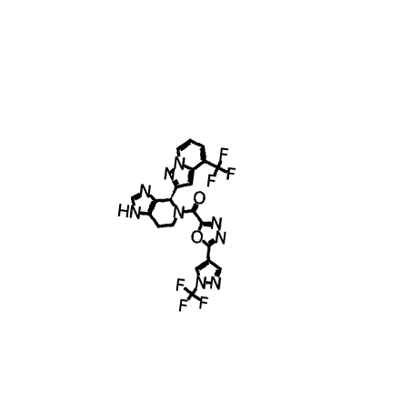 O=C(c1nnc(-c2cnn(C(F)(F)F)c2)o1)N1CCc2[nH]cnc2[C@H]1c1cc2c(C(F)(F)F)cccn2n1